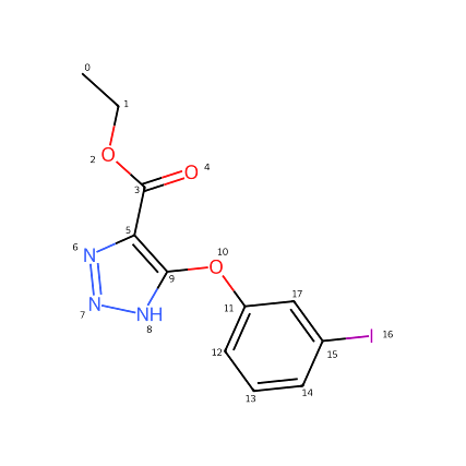 CCOC(=O)c1nn[nH]c1Oc1cccc(I)c1